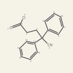 N#CC(CCC(=O)Cl)(c1ccccc1)c1ccccc1